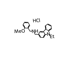 CCn1c2ccccc2c2cc(CNCc3ccccc3OC)ccc21.Cl